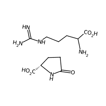 N=C(N)NCCCC(N)C(=O)O.O=C1CC[C@@H](C(=O)O)N1